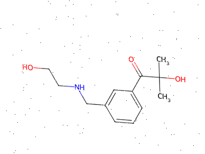 CC(C)(O)C(=O)c1cccc(CNCCO)c1